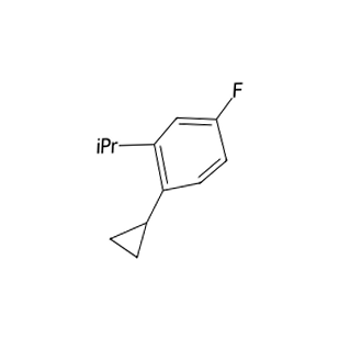 [CH2]C(C)c1cc(F)ccc1C1CC1